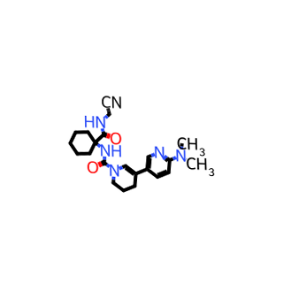 CN(C)c1ccc(C2=CN(C(=O)NC3(C(=O)NCC#N)CCCCC3)CCC2)cn1